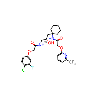 O=C(COc1ccc(Cl)c(F)c1)NC[C@@H](O)CC1(NC(=O)COc2cccc(C(F)(F)F)n2)CCCCC1